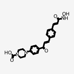 O=C(C=Cc1ccc(C=CC(=O)c2ccc(N3CCN(C(=O)O)CC3)cc2)cc1)NO